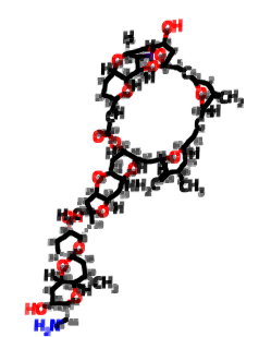 C=C1CC2CC[C@]34CC(O)C(O3)[C@@H]3O[C@H]5CC[C@H](CC(=O)O[C@@H]6CC7OC8C[C@](C)(C[C@@H]9O[C@@]%10(CC[C@@H]9O)C[C@H](C)[C@@H]9O[C@H](CN)[C@H](O)C[C@@H]9O%10)O[C@@H]8C[C@@H]7O[C@H]6C[C@H]6O[C@@H](CC[C@@H]1O2)C[C@@H](C)C6=C)O[C@@H]5[C@H](O4)[C@@H]3I